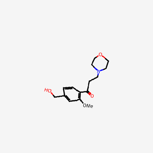 COc1cc(CO)ccc1C(=O)CCN1CCOCC1